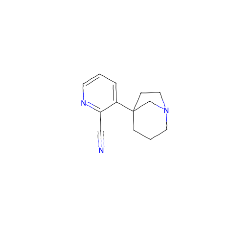 N#Cc1ncccc1C12CCCN(CC1)C2